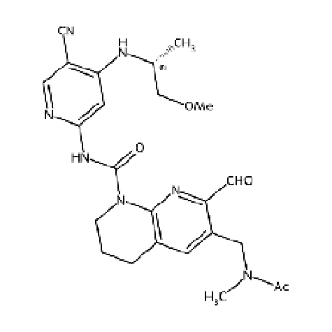 COC[C@@H](C)Nc1cc(NC(=O)N2CCCc3cc(CN(C)C(C)=O)c(C=O)nc32)ncc1C#N